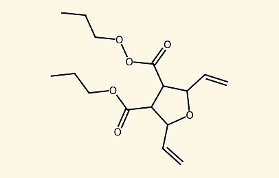 C=CC1OC(C=C)C(C(=O)OOCCC)C1C(=O)OCCC